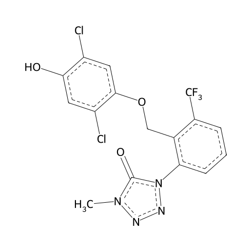 Cn1nnn(-c2cccc(C(F)(F)F)c2COc2cc(Cl)c(O)cc2Cl)c1=O